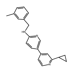 Cc1cccc(CNc2ccc(-c3ccnc(C4CC4)c3)cn2)c1